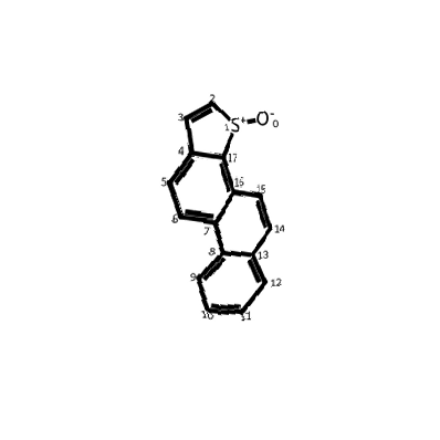 [O-][s+]1ccc2ccc3c4ccccc4ccc3c21